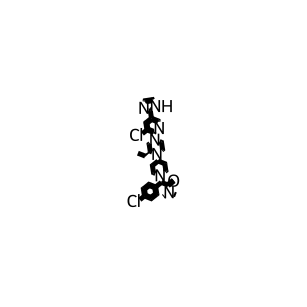 CC[C@H]1CN(c2ncc(-c3ncc[nH]3)cc2Cl)CCN1C1CCN(C(C(=O)N(C)C)c2ccc(Cl)cc2)CC1